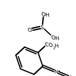 O=S(O)O.[N-]=[N+]=C1CC=CC=C1C(=O)O